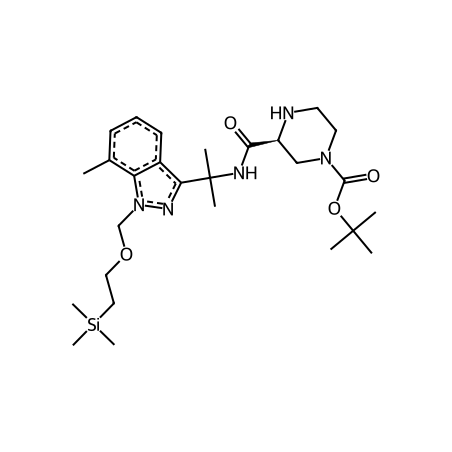 Cc1cccc2c(C(C)(C)NC(=O)[C@@H]3CN(C(=O)OC(C)(C)C)CCN3)nn(COCC[Si](C)(C)C)c12